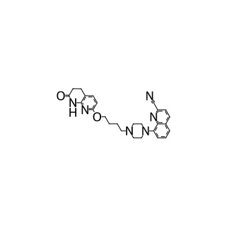 N#Cc1ccc2cccc(N3CCN(CCCCOc4ccc5c(n4)NC(=O)CC5)CC3)c2n1